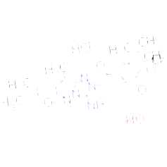 CCC(CC)Oc1cc(C)c2nn(CC(=O)c3cc(OCCO)c(OC)c(C(C)(C)C)c3)c(=N)n2n1.Cl